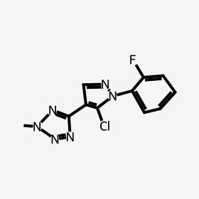 Cn1nnc(-c2cnn(-c3ccccc3F)c2Cl)n1